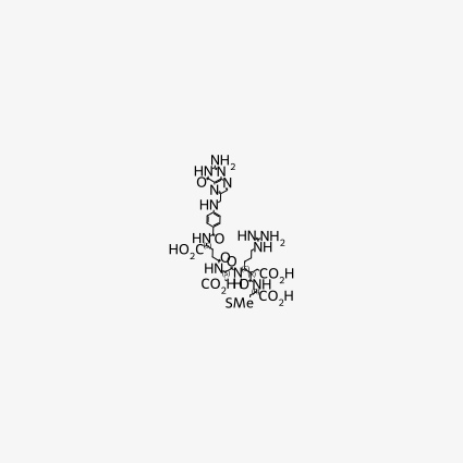 CSC[C@H](NC(=O)[C@H](CC(=O)O)[C@H](CCCNC(=N)N)NC(=O)[C@H](CC(=O)O)NC(=O)CC[C@H](NC(=O)c1ccc(NCc2cnc3nc(N)[nH]c(=O)c3n2)cc1)C(=O)O)C(=O)O